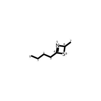 CCCCC1=NC(C)S1